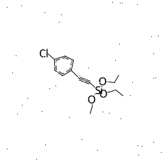 CCO[Si](C#Cc1ccc(Cl)cc1)(OCC)OCC